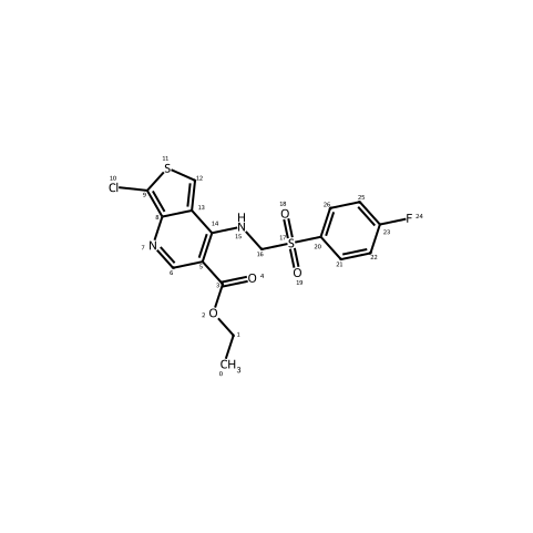 CCOC(=O)c1cnc2c(Cl)scc2c1NCS(=O)(=O)c1ccc(F)cc1